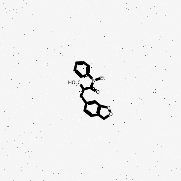 CCN(C(=O)C(Cc1ccc2c(c1)OOC2)C(=O)O)c1ccccc1